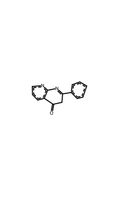 O=C1CC(c2ccccc2)=Nc2ncccc21